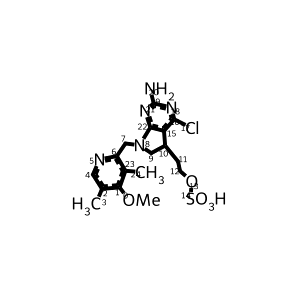 COc1c(C)cnc(CN2CC(CCOS(=O)(=O)O)c3c(Cl)nc(N)nc32)c1C